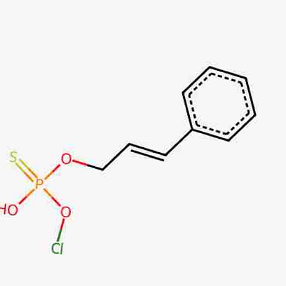 OP(=S)(OCl)OCC=Cc1ccccc1